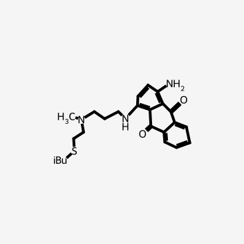 CCC(C)SCCN(C)CCCNc1ccc(N)c2c1C(=O)c1ccccc1C2=O